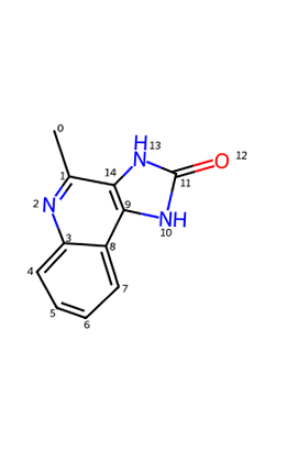 Cc1nc2ccccc2c2[nH]c(=O)[nH]c12